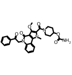 COc1c(C(=O)N2CCC(OC(N)=O)CC2)n(C)c2c1c(=O)n(CC(=O)c1ccccc1)c1ccccc21